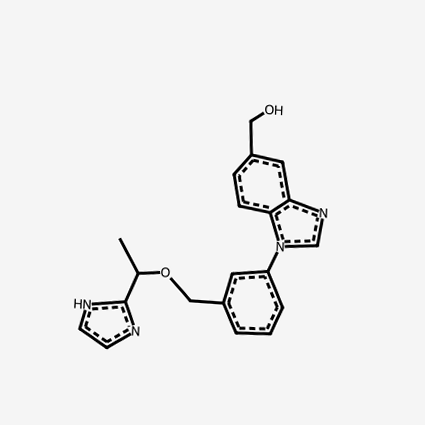 CC(OCc1cccc(-n2cnc3cc(CO)ccc32)c1)c1ncc[nH]1